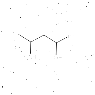 CCCC(O)CC(C)N